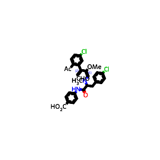 COC(=C/N(C)C(Cc1ccc(Cl)cc1)C(=O)Nc1ccc(C(=O)O)cc1)/C(=C\C=O)c1cc(Cl)ccc1C(C)=O